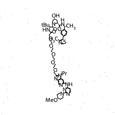 COC1CCN(c2nccc(Nc3cc4c(cn3)nc(COCCOCCOCCOCCOCC(=O)N[C@H](C(=O)N3C[C@H](O)C[C@H]3C(=O)N[C@@H](C)c3ccc(-c5scnc5C)cc3)C(C)(C)C)n4C(C)C)n2)CC1